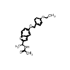 CCOc1ccc(COc2ccc3sc(C(C)NC(C)=O)cc3c2)cc1